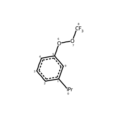 CC(C)c1cccc(OOC(F)(F)F)c1